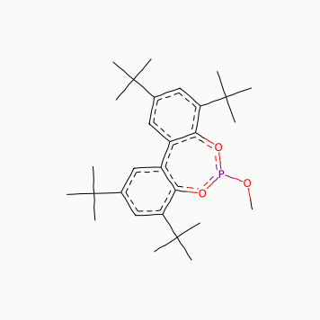 COp1oc2c(C(C)(C)C)cc(C(C)(C)C)cc2c2cc(C(C)(C)C)cc(C(C)(C)C)c2o1